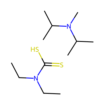 CC(C)N(C)C(C)C.CCN(CC)C(=S)S